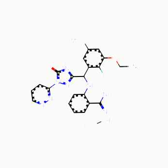 CC(=O)O.COc1cc(OCC#N)c(F)c(C(Nc2ccccc2C(=N)N)c2nn(-c3cccnn3)c(=O)[nH]2)c1